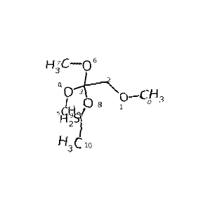 COCC(OC)(OC)O[SiH2]C